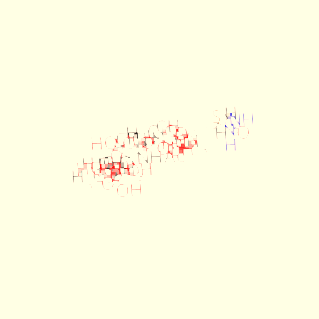 CC(=O)NC1C(C)(COCC2(C)C3(C)O[C@](C)(OC(=O)CCCCC4SC[C@@H]5NC(=O)N[C@H]45)C(O)C23O)OC(C)(CO)C(OC[C@]2(C)OC3(CO)OC(C)([C@@]3(C)O)[C@@]2(C)O)C1(C)CO